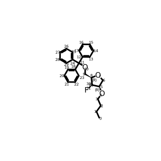 CCCCO[C@@H]1CO[C@H](COC(c2ccccc2)(c2ccccc2)c2ccccc2)[C@@H]1F